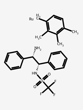 Cc1ccc(C)c(C)c1C.N[C@@H](c1ccccc1)[C@@H](NS(=O)(=O)C(F)(F)F)c1ccccc1.[Ru]